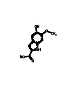 COc1cc2[nH]c(C(=O)O)cc2cc1O